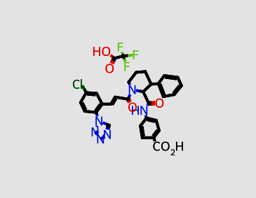 O=C(O)C(F)(F)F.O=C(O)c1ccc(NC(=O)C2C(c3ccccc3)CCCN2C(=O)/C=C/c2cc(Cl)ccc2-n2cnnn2)cc1